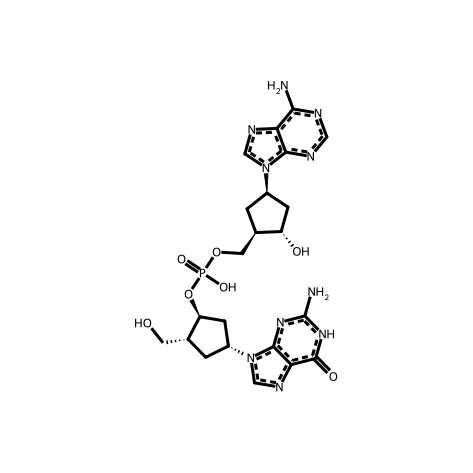 Nc1nc2c(ncn2[C@@H]2C[C@H](CO)[C@@H](OP(=O)(O)OC[C@H]3C[C@@H](n4cnc5c(N)ncnc54)C[C@@H]3O)C2)c(=O)[nH]1